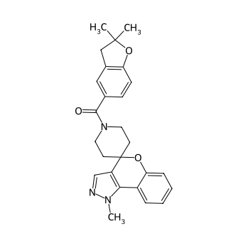 Cn1ncc2c1-c1ccccc1OC21CCN(C(=O)c2ccc3c(c2)CC(C)(C)O3)CC1